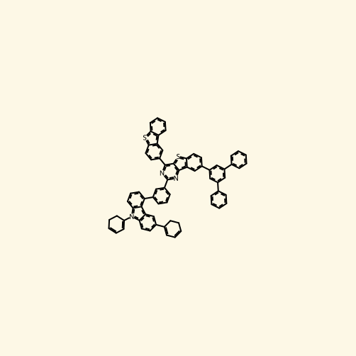 C1=CCCC(c2ccc3c(c2)c2c(-c4cccc(-c5nc(-c6ccc7sc8ccccc8c7c6)c6sc7ccc(-c8cc(-c9ccccc9)cc(-c9ccccc9)c8)cc7c6n5)c4)cccc2n3C2=CC=CCC2)=C1